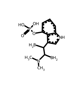 BC(c1c[nH]c2cccc(OP(=O)(O)O)c12)C(B)N(C)C